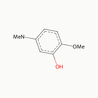 CNc1ccc(OC)c(O)c1